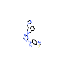 c1ccc(CN(CCCn2ccnc2)c2ncnc(Nc3ccc4ncsc4c3)n2)cc1